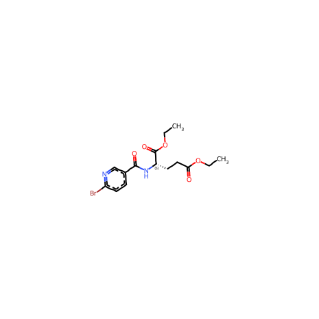 CCOC(=O)CC[C@H](NC(=O)c1ccc(Br)nc1)C(=O)OCC